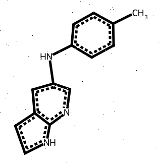 Cc1ccc(Nc2cnc3[nH]ccc3c2)cc1